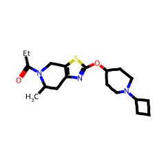 CCC(=O)N1Cc2sc(OC3CCN(C4CCC4)CC3)nc2CC1C